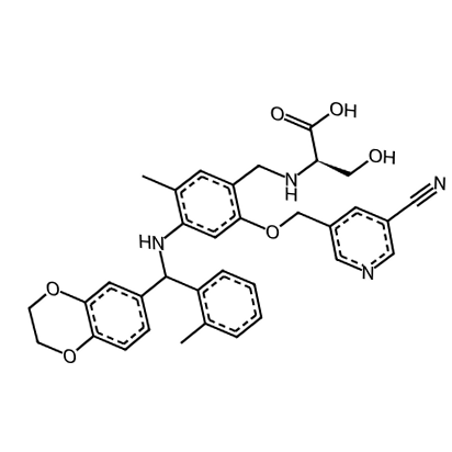 Cc1cc(CN[C@H](CO)C(=O)O)c(OCc2cncc(C#N)c2)cc1NC(c1ccc2c(c1)OCCO2)c1ccccc1C